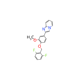 COc1cc(-c2cn3ccccc3n2)ccc1OCc1c(F)cccc1F